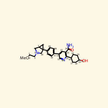 COCCN1CC2CC2(c2ccc(-c3cnc(C4CCC(O)CC4)c(C(N)=O)c3)cc2)C1